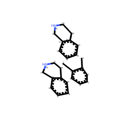 Cc1ccccc1C.c1ccc2c(c1)CCNC2.c1ccc2c(c1)CCNC2